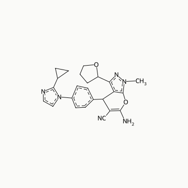 Cn1nc(C2CCCO2)c2c1OC(N)=C(C#N)C2c1ccc(-n2ccnc2C2CC2)cc1